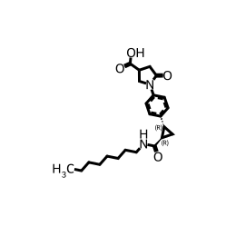 CCCCCCCCNC(=O)[C@@H]1C[C@H]1c1ccc(N2CC(C(=O)O)CC2=O)cc1